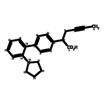 CC#CCC(C(=O)O)c1ccc(-c2ccccc2N2CCCC2)cc1